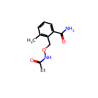 CCC(=O)NOCc1c(C)cccc1C(N)=O